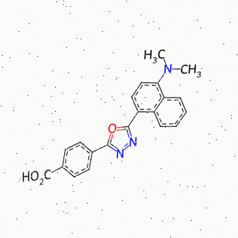 CN(C)c1ccc(-c2nnc(-c3ccc(C(=O)O)cc3)o2)c2ccccc12